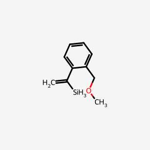 C=C([SiH3])c1ccccc1COC